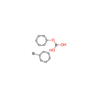 OB(O)Oc1ccccc1.[B]c1ccccc1